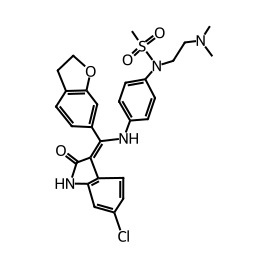 CN(C)CCN(c1ccc(NC(=C2C(=O)Nc3cc(Cl)ccc32)c2ccc3c(c2)OCC3)cc1)S(C)(=O)=O